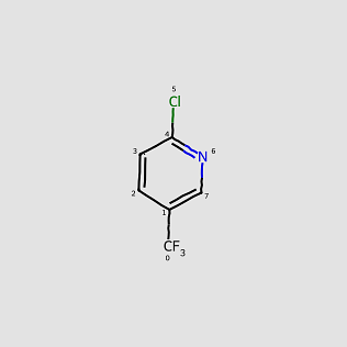 FC(F)(F)c1c[c]c(Cl)nc1